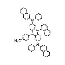 Cc1ccc(-c2c3cc(N(c4ccccc4)c4ccc5ccccc5c4)ccc3c(-c3cccc4ccccc34)c3cc(N(c4ccccc4)c4ccc5ccccc5c4)ccc23)cc1